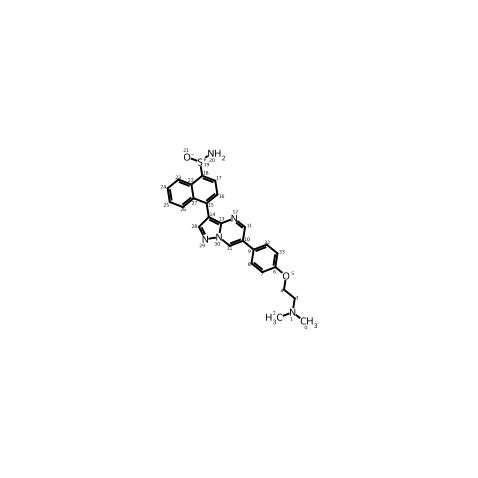 CN(C)CCOc1ccc(-c2cnc3c(-c4ccc([S+](N)[O-])c5ccccc45)cnn3c2)cc1